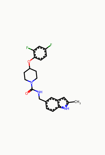 Cc1cc2cc(CNC(=O)N3CCC(Oc4ccc(F)cc4F)CC3)ccc2[nH]1